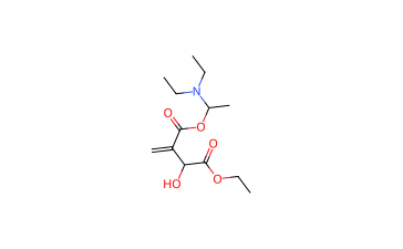 C=C(C(=O)OC(C)N(CC)CC)C(O)C(=O)OCC